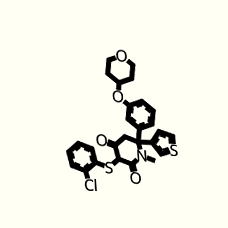 CN1C(=O)C(Sc2ccccc2Cl)C(=O)CC1(c1ccsc1)c1cccc(OC2CCOCC2)c1